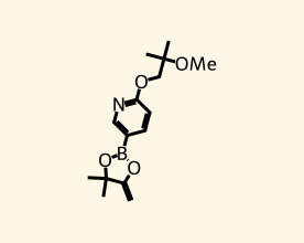 C=C1OB(c2ccc(OCC(C)(C)OC)nc2)OC1(C)C